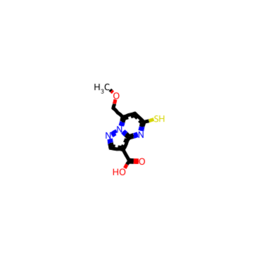 COCc1cc(S)nc2c(C(=O)O)cnn12